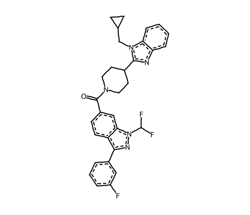 O=C(c1ccc2c(-c3cccc(F)c3)nn(C(F)F)c2c1)N1CCC(c2nc3ccccc3n2CC2CC2)CC1